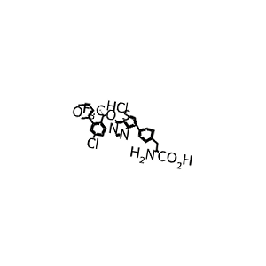 Cl.NC(Cc1ccc(-c2csc3c(O[C@H](c4ccc(Cl)cc4C4=CCCOC4)C(F)(F)F)ncnc23)cc1)C(=O)O